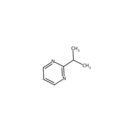 CC(C)c1n[c][c]cn1